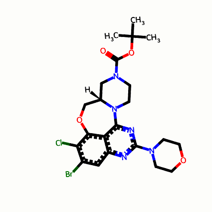 CC(C)(C)OC(=O)N1CCN2c3nc(N4CCOCC4)nc4cc(Br)c(Cl)c(c34)OC[C@@H]2C1